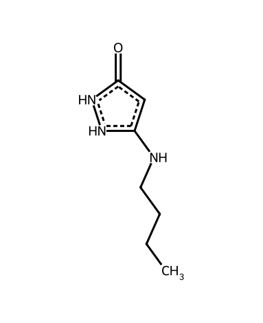 CCCCNc1cc(=O)[nH][nH]1